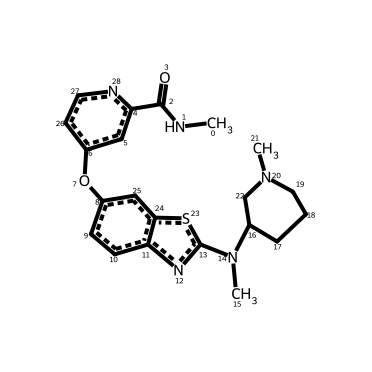 CNC(=O)c1cc(Oc2ccc3nc(N(C)C4CCCN(C)C4)sc3c2)ccn1